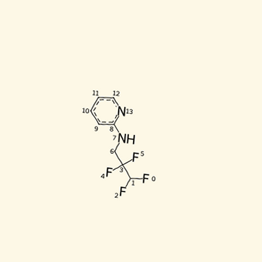 FC(F)C(F)(F)CNc1ccccn1